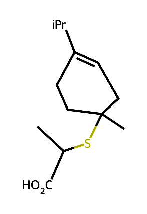 CC(C)C1=CCC(C)(SC(C)C(=O)O)CC1